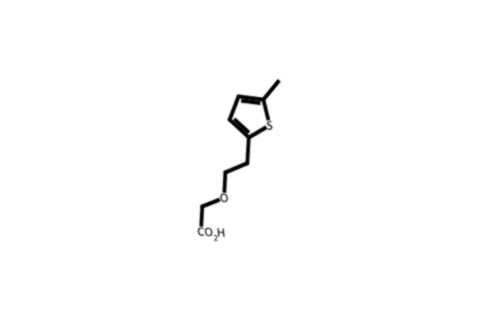 Cc1ccc(CCOCC(=O)O)s1